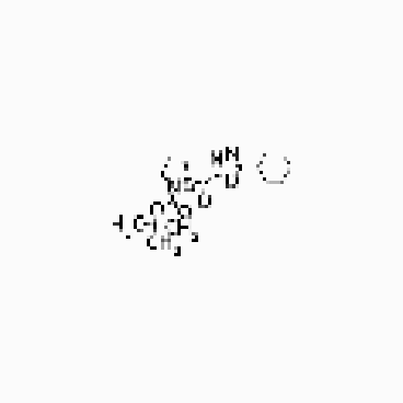 CC(C)(C)OC(=O)N1CCC[C@H]1C(=O)c1nnc(C2CCCCC2)o1